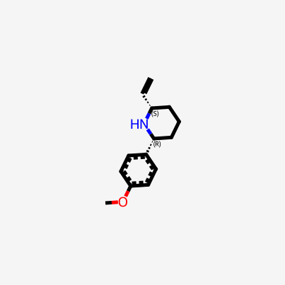 C=C[C@@H]1CCC[C@H](c2ccc(OC)cc2)N1